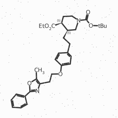 CCOC(=O)[C@H]1CCN(C(=O)OC(C)(C)C)C[C@H]1CCc1ccc(OCCc2nc(-c3ccccc3)oc2C)cc1